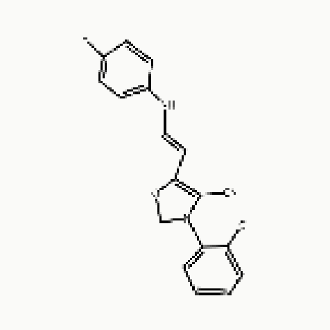 N#CC1=C(C=CNc2ccc(F)cc2)OCN1c1ccccc1Cl